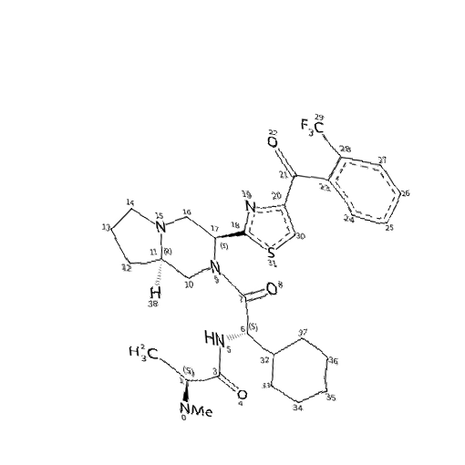 CN[C@@H](C)C(=O)N[C@H](C(=O)N1C[C@H]2CCCN2C[C@H]1c1nc(C(=O)c2ccccc2C(F)(F)F)cs1)C1CCCCC1